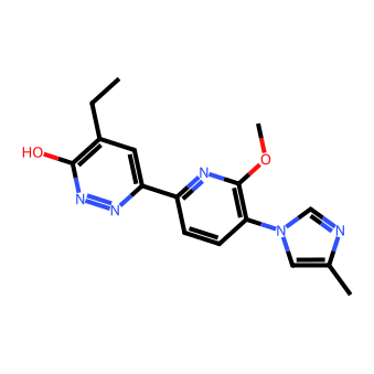 CCc1cc(-c2ccc(-n3cnc(C)c3)c(OC)n2)nnc1O